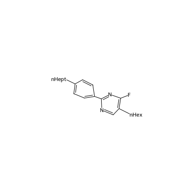 CCCCCCCc1ccc(-c2ncc(CCCCCC)c(F)n2)cc1